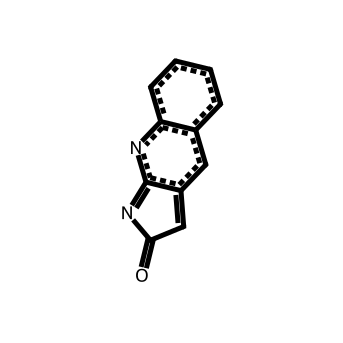 O=C1C=c2cc3ccccc3nc2=N1